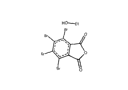 CCO.O=C1OC(=O)c2c(Br)c(Br)c(Br)c(Br)c21